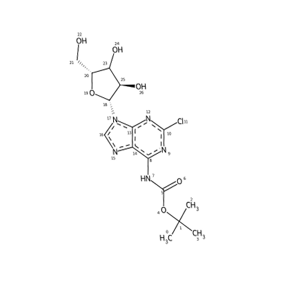 CC(C)(C)OC(=O)Nc1nc(Cl)nc2c1ncn2[C@@H]1O[C@H](CO)C(O)[C@H]1O